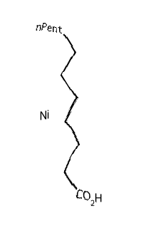 CCCCCCCCCCCC(=O)O.[Ni]